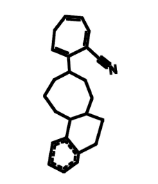 N#CC1=CC=CCC=C1C1CCCC2c3ccccc3CCC2CC1